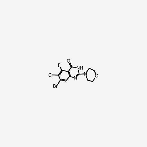 O=c1[nH]c(N2CCOCC2)nc2cc(Br)c(Cl)c(F)c12